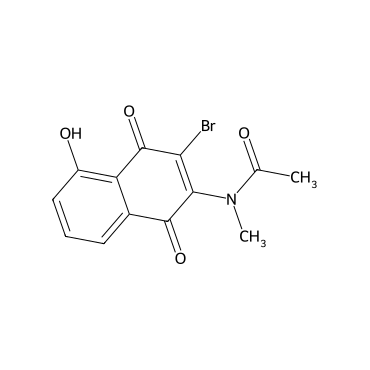 CC(=O)N(C)C1=C(Br)C(=O)c2c(O)cccc2C1=O